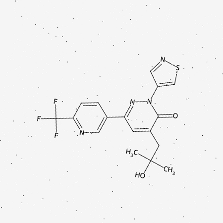 CC(C)(O)Cc1cc(-c2ccc(C(F)(F)F)nc2)nn(-c2cnsc2)c1=O